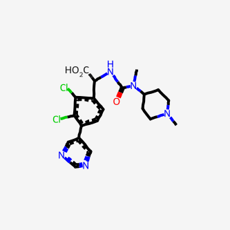 CN1CCC(N(C)C(=O)NC(C(=O)O)c2ccc(-c3cncnc3)c(Cl)c2Cl)CC1